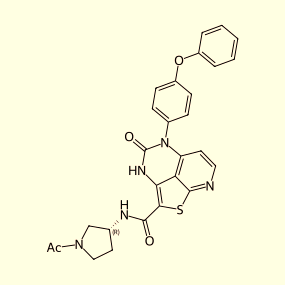 CC(=O)N1CC[C@@H](NC(=O)c2sc3nccc4c3c2NC(=O)N4c2ccc(Oc3ccccc3)cc2)C1